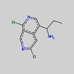 CCC(N)c1cnc(Cl)c2cnc(Cl)cc12